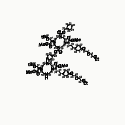 CCOCCOCCOc1ccc(CCC[C@@H](C(=O)OC)N2CCN(C(=O)OCc3ccccc3)CCN([C@H](COC(C)(C)C)C(=O)OC)CCN(C(=O)OCc3ccccc3)CC2)cc1.CCOCCOCCOc1ccc(CCC[C@@H](C(=O)OC)N2CCNCCN([C@H](COC(C)(C)C)C(=O)OC)CCNCC2)cc1